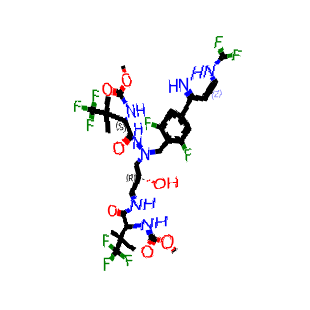 COC(=O)NC(C(=O)NC[C@@H](O)CN(Cc1c(F)cc(C(=N)/C=C\NC(F)F)cc1F)NC(=O)[C@@H](NC(=O)OC)C(C)(C)C(F)(F)F)C(C)(C)C(F)(F)F